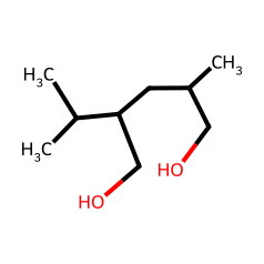 CC(CO)CC(CO)C(C)C